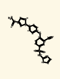 N#Cc1cc(S(=O)(=O)Nc2nccs2)ccc1Oc1ccc(-n2cc(C(N)=O)cn2)cc1